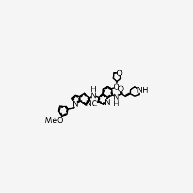 COc1cccc(Cn2ccc3cc(Nc4c(C#N)cnc5c(NC(=O)C=C6CCNCC6)c(OC6CCOC6)ccc45)ccc32)c1